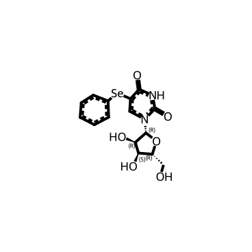 O=c1[nH]c(=O)n([C@@H]2O[C@H](CO)[C@@H](O)[C@H]2O)cc1[Se]c1ccccc1